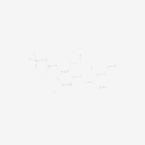 Cc1nc(CC(=O)NC2(CF)CC2)c(C2OCCO2)c(NCc2cccc(C(F)F)c2F)n1